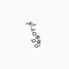 O=P(O)(O)CCCNCc1ccc(-c2noc(-c3nnn(-c4ccccc4F)c3-c3ccncc3)n2)cc1